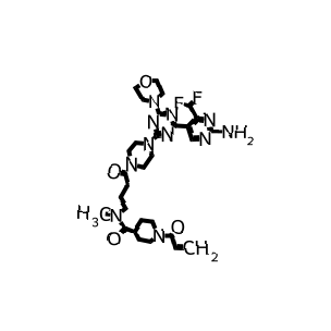 C=CC(=O)N1CCC(C(=O)N(C)CCCC(=O)N2CCN(c3nc(-c4cnc(N)nc4C(F)F)nc(N4CCOCC4)n3)CC2)CC1